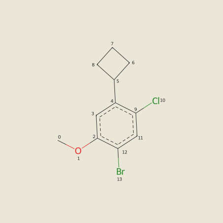 COc1cc(C2CCC2)c(Cl)cc1Br